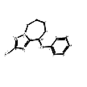 Brc1nc2n(n1)CCCCC2Oc1ccccc1